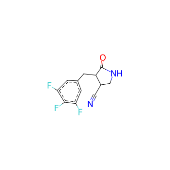 N#CC1CNC(=O)C1Cc1cc(F)c(F)c(F)c1